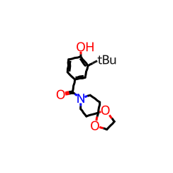 CC(C)(C)c1cc(C(=O)N2CCC3(CC2)OCCO3)ccc1O